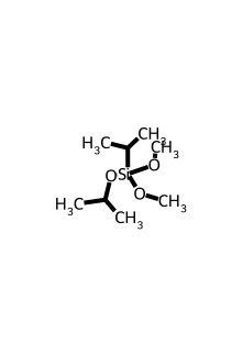 CO[Si](OC)(OC(C)C)C(C)C